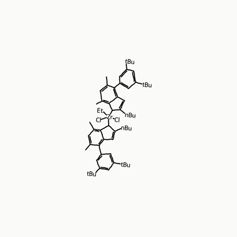 CCCCC1=Cc2c(-c3cc(C(C)(C)C)cc(C(C)(C)C)c3)c(C)cc(C)c2[CH]1[Zr]([Cl])([Cl])([CH2]C)[CH]1C(CCCC)=Cc2c(-c3cc(C(C)(C)C)cc(C(C)(C)C)c3)c(C)cc(C)c21